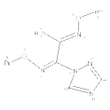 CC(C)ON=C(N)C(=NOC(C)C)n1cncn1